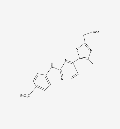 CCOC(=O)c1ccc(Nc2nccc(-c3sc(COC)nc3C)n2)cc1